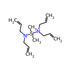 C=CCN(CC=C)[Si](C)(C)N(CC=C)CC=C